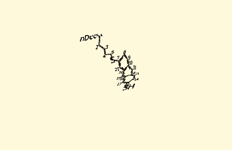 CCCCCCCCCCCCCCCSc1ccc2cc3ccc(S)cc3cc2c1